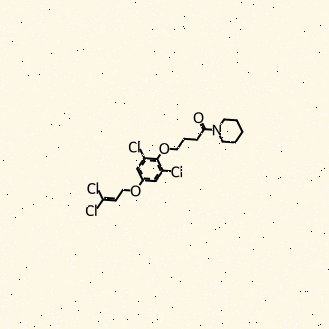 O=C(CCCOc1c(Cl)cc(OCC=C(Cl)Cl)cc1Cl)N1CCCCC1